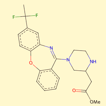 COC(=O)CC1CN(C2=Nc3cc(C(C)(F)F)ccc3Oc3ccccc32)CCN1